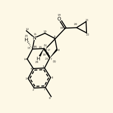 Cc1ccc2c(c1)[C@]13CCCN(C)[C@H](C2)[C@@H]1CN(C(=O)C1CC1)CC3